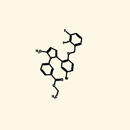 CCOC(=O)c1cccc(-n2c(C)ccc2-c2cc(Br)ccc2OCc2cccc(F)c2F)c1